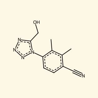 Cc1c(C#N)ccc(-n2nnnc2CO)c1C